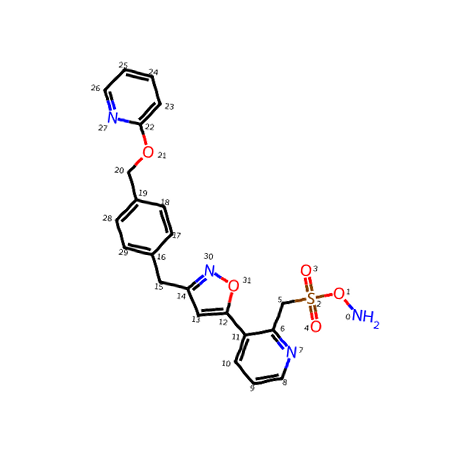 NOS(=O)(=O)Cc1ncccc1-c1cc(Cc2ccc(COc3ccccn3)cc2)no1